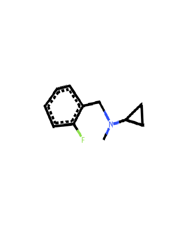 CN(Cc1ccccc1F)C1CC1